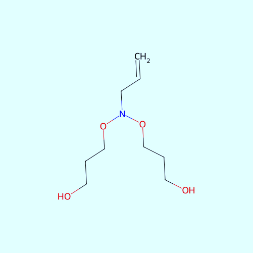 C=CCN(OCCCO)OCCCO